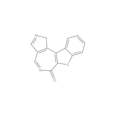 O=c1ncc2c(c3c1sc1ccccc13)CN=C2